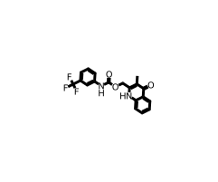 Cc1c(COC(=O)Nc2cccc(C(F)(F)F)c2)[nH]c2ccccc2c1=O